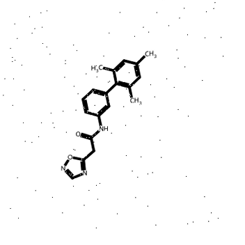 Cc1cc(C)c(-c2cccc(NC(=O)Cc3ncno3)c2)c(C)c1